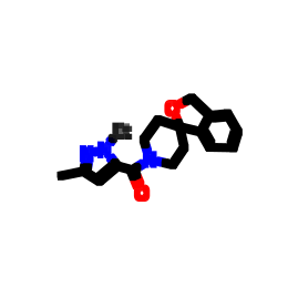 CCn1nc(C)cc1C(=O)N1CCC2(CC1)OCc1ccccc12